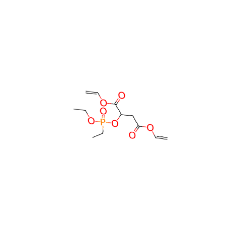 C=COC(=O)CC(OP(=O)(CC)OCC)C(=O)OC=C